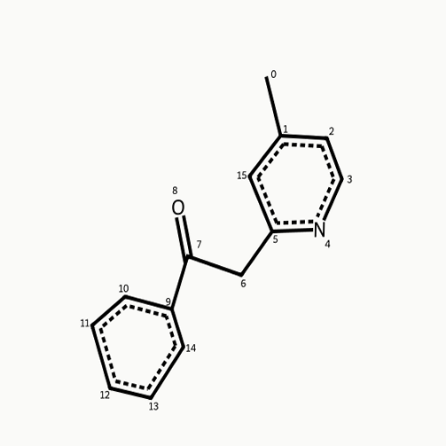 Cc1ccnc(CC(=O)c2ccccc2)c1